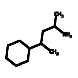 CC(N)CC(C)C1CCCCC1